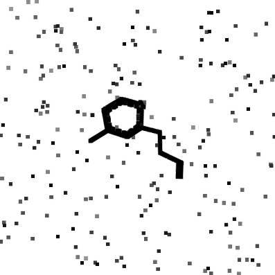 C=CCCc1cc(C)ccn1